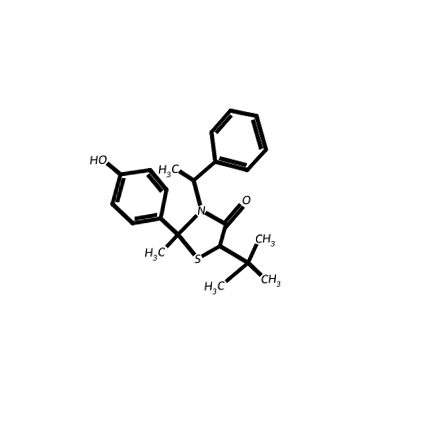 CC(c1ccccc1)N1C(=O)C(C(C)(C)C)SC1(C)c1ccc(O)cc1